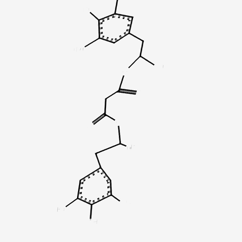 CCCC(Cc1cc(C(C)(C)C)c(O)c(C(C)(C)C)c1)OC(=O)CC(=O)OC(CCC)Cc1cc(C(C)(C)C)c(O)c(C(C)(C)C)c1